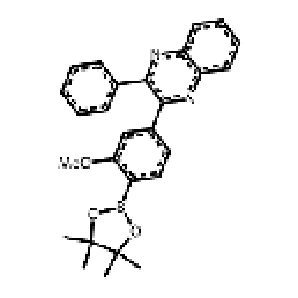 COc1cc(-c2nc3ccccc3nc2-c2ccccc2)ccc1B1OC(C)(C)C(C)(C)O1